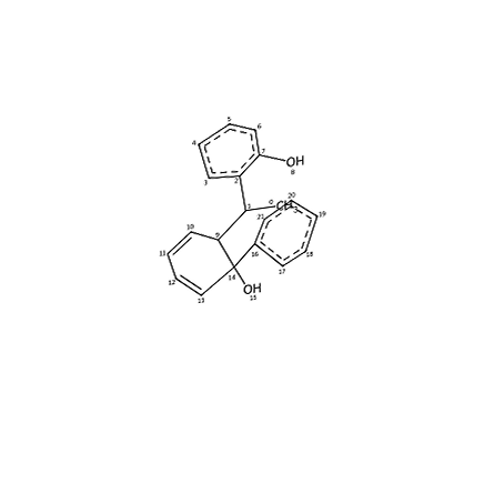 CC(c1ccccc1O)C1C=CC=CC1(O)c1ccccc1